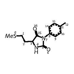 CSCCC1NC(=O)N(c2ccc(C)cc2)C1=O